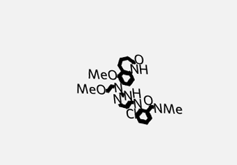 CNC(=O)c1ccccc1Nc1nc(N(CCOC)c2ccc3c(c2OC)CCCC(=O)N3)ncc1Cl